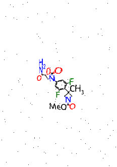 COC(=O)N1CC(C)(c2c(F)cc(N3CC(C(N)=O)OC3=O)cc2F)C1